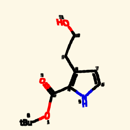 CC(C)(C)OC(=O)c1[nH]ccc1CCO